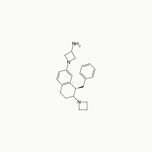 NC1CN(c2ccc3c(c2)[C@@H](Cc2ccccc2)C(N2CCC2)CC3)C1